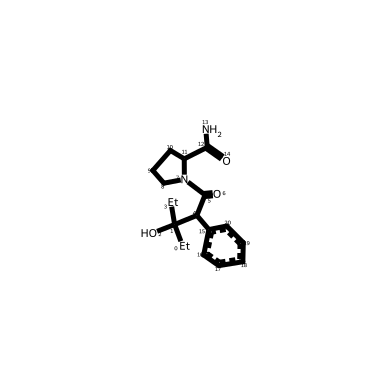 CCC(O)(CC)C(C(=O)N1CCCC1C(N)=O)c1ccccc1